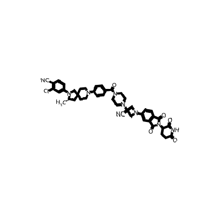 C[C@H]1CC2(CCN(c3ccc(C(=O)N4CCN(C5(C#N)CN(c6ccc7c(c6)C(=O)N(C6CCC(=O)NC6=O)C7=O)C5)CC4)cc3)CC2)CN1c1ccc(C#N)c(Cl)c1